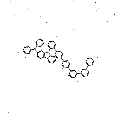 c1ccc(-c2cccc(-c3cccc(-c4ccc(-c5ccc(-c6ccccc6-n6c7ccccc7c7ccc8c(c9ccccc9n8-c8ccccc8)c76)cc5)cc4)c3)c2)cc1